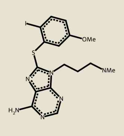 CNCCCn1c(Sc2cc(OC)ccc2I)nc2c(N)ncnc21